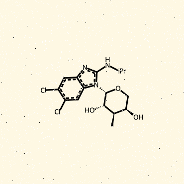 CC(C)Nc1nc2cc(Cl)c(Cl)cc2n1[C@@H]1OC[C@@H](O)[C@@H](C)[C@@H]1O